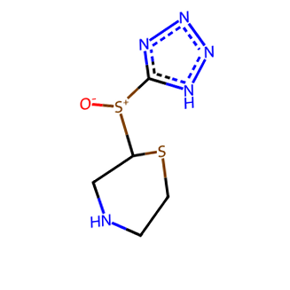 [O-][S+](c1nnn[nH]1)C1CNCCS1